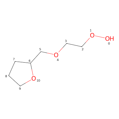 OOCCOCC1CCCO1